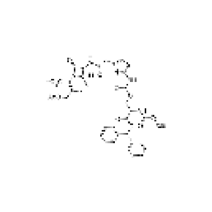 CC(=O)OCC1=C(C(=O)O)N2C(=O)[C@@H](NC(=O)Cc3csc(NC(=O)OCC(NC(=O)OC(C)(C)C)C(=O)OC(c4ccccc4)c4ccccc4)n3)[C@H]2SC1